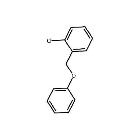 Clc1ccccc1COc1ccccc1